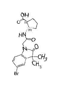 CC1(C)C(=O)N(CC(=O)N[C@H]2CCC[C@@H]2C(=O)O)c2ccc(Br)cc21